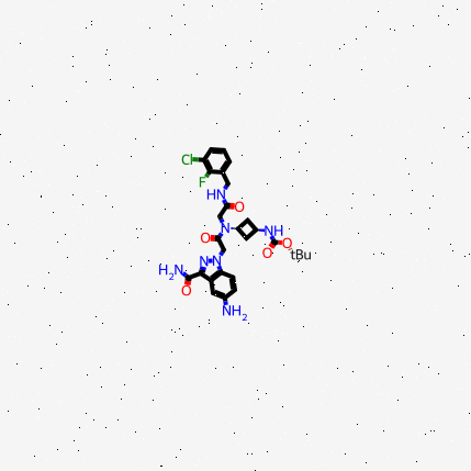 CC(C)(C)OC(=O)N[C@H]1C[C@H](N(CC(=O)NCc2cccc(Cl)c2F)C(=O)Cn2nc(C(N)=O)c3cc(N)ccc32)C1